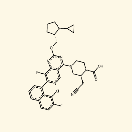 N#CC[C@H]1CN(c2nc(OC[C@@H]3CCCN3C3CC3)nc3c(F)c(-c4cccc5ccc(F)c(Cl)c45)ncc23)CCN1C(=O)O